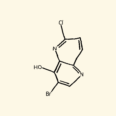 Oc1c(Br)cnc2ccc(Cl)nc12